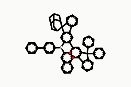 c1ccc(-c2ccc(N(c3ccc4ccccc4c3)c3cc4c(cc3-c3ccc5c(c3)C(c3ccccc3)(c3ccccc3)c3ccccc3-5)-c3ccccc3C43C4CC5CC(C4)CC3C5)cc2)cc1